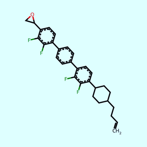 C=CCCC1CCC(c2ccc(-c3ccc(-c4ccc(C5CO5)c(F)c4F)cc3)c(F)c2F)CC1